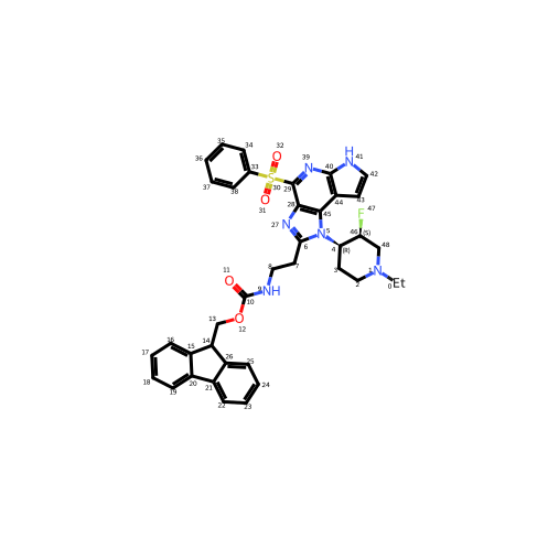 CCN1CC[C@@H](n2c(CCNC(=O)OCC3c4ccccc4-c4ccccc43)nc3c(S(=O)(=O)c4ccccc4)nc4[nH]ccc4c32)[C@@H](F)C1